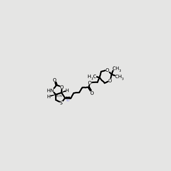 CC1(COC(=O)CCC/C=C2/SC[C@@H]3NC(=O)O[C@H]23)COC(C)(C)OC1